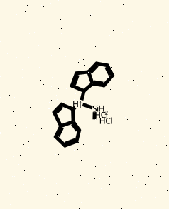 C[SiH2][Hf]([CH]1C=Cc2ccccc21)[CH]1C=Cc2ccccc21.Cl.Cl